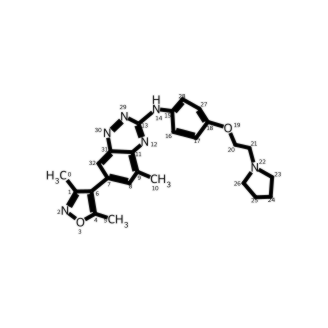 Cc1noc(C)c1-c1cc(C)c2nc(Nc3ccc(OCCN4CCCC4)cc3)nnc2c1